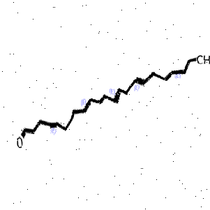 CC/C=C/CC/C=C/C/C=C/CC/C=C/CC/C=C/CC[C]=O